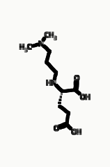 CN(C)CCCN[C@@H](CCC(=O)O)C(=O)O